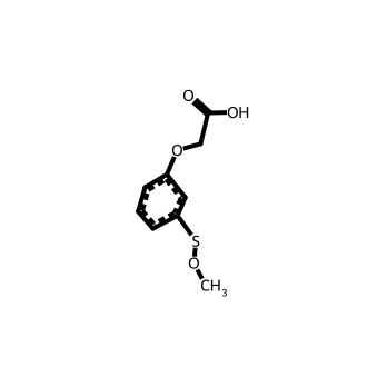 COSc1cccc(OCC(=O)O)c1